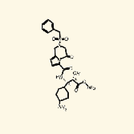 CCCCOC(=O)[C@@H](O)[C@@H](NC(=O)c1ccc2n1C(=O)CN(S(=O)(=O)Cc1ccccc1)C2)C1CCC(N)CC1